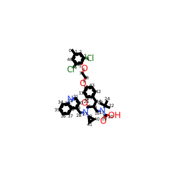 Cc1cc(Cl)c(OCCOc2ccc(CC(CN(C(=O)O)C(C)(C)C)C(=O)N(Cc3ccnc4ccccc34)C3CC3)cc2)c(Cl)c1